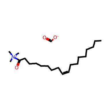 CCCCCCCC/C=C\CCCCCCCC(=O)[N+](C)(C)C.O=C[O-]